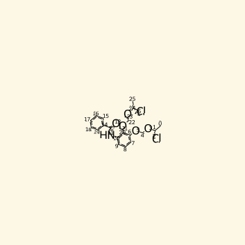 CC(Cl)OCOc1cccc(NC(=O)c2ccccc2)c1OCOC(C)Cl